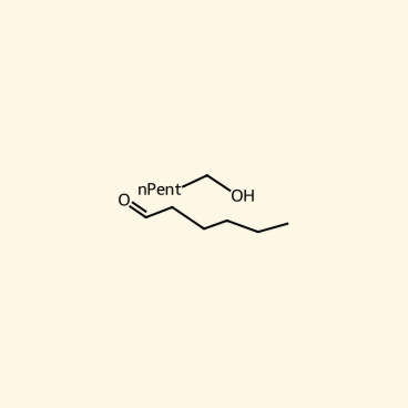 CCCCCC=O.CCCCCCO